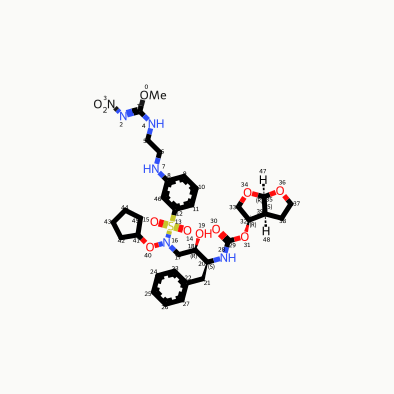 COC(=N[N+](=O)[O-])NCCNc1cccc(S(=O)(=O)N(C[C@@H](O)[C@H](Cc2ccccc2)NC(=O)O[C@H]2CO[C@H]3OCC[C@H]32)OC2CCCC2)c1